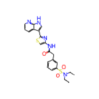 CCN(CC)S(=O)(=O)c1cccc(CC(=O)Nc2csc(-c3c[nH]c4ncccc34)n2)c1